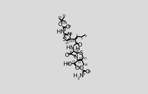 CC/C=C(\C(=O)N[C@@H]1C(=O)N2C(C(=O)O)=C(COC(N)=O)CS[C@H]12)c1csc(NC(=O)OC(C)(C)C)n1